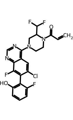 C=CC(=O)N1CCN(c2ncnc3c(F)c(-c4c(O)cccc4F)c(Cl)cc23)CC1C(F)F